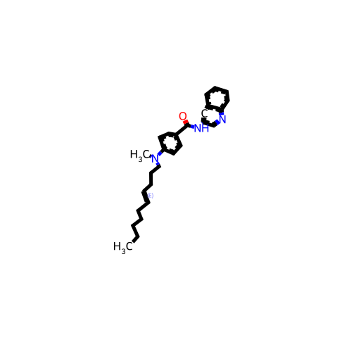 CCCCC/C=C/CCCN(C)c1ccc(C(=O)Nc2cnc3ccccc3c2)cc1